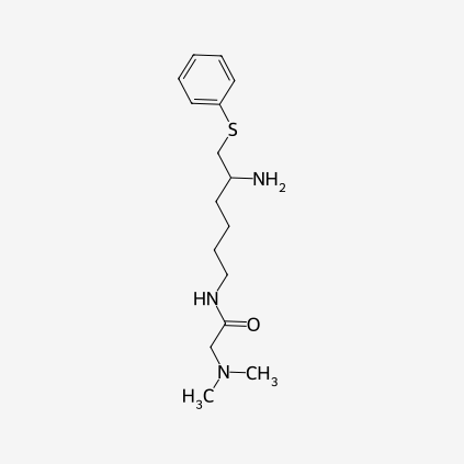 CN(C)CC(=O)NCCCCC(N)CSc1ccccc1